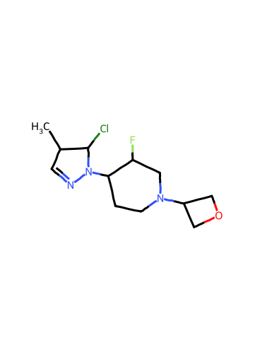 CC1C=NN(C2CCN(C3COC3)CC2F)C1Cl